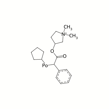 C[N+]1(C)CCC(OC(=O)[CH]([Po][CH]2CCCC2)c2ccccc2)C1